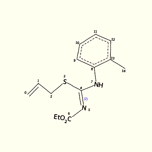 C=CCS/C(=N\C(=O)OCC)Nc1ccccc1C